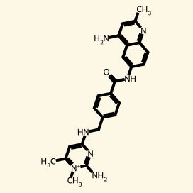 Cc1cc(N)c2cc(NC(=O)c3ccc(CNc4cc(C)[n+](C)c(N)n4)cc3)ccc2n1